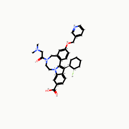 CN(C)CC(=O)N1CCn2c(c([C@H]3CCCC[C@@H]3F)c3ccc(C(=O)O)cc32)-c2ccc(OCc3cccnc3)cc2C1